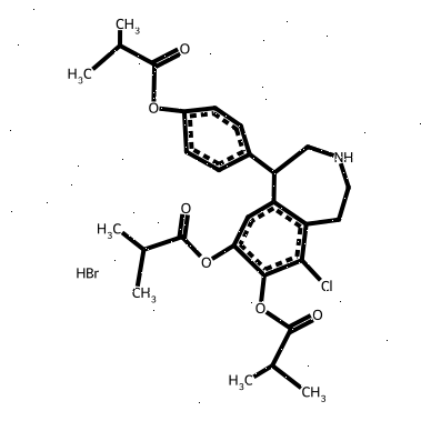 Br.CC(C)C(=O)Oc1ccc(C2CNCCc3c2cc(OC(=O)C(C)C)c(OC(=O)C(C)C)c3Cl)cc1